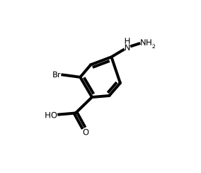 NNc1ccc(C(=O)O)c(Br)c1